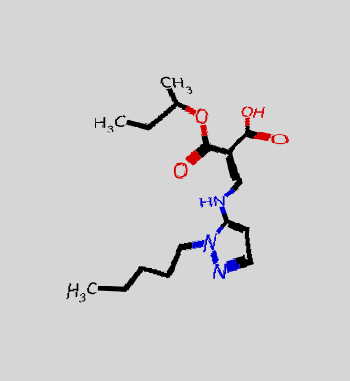 CCCCCn1nccc1NC=C(C(=O)O)C(=O)OC(C)CC